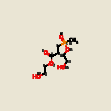 CP(=O)(CCC(=O)OCCO)OCCO